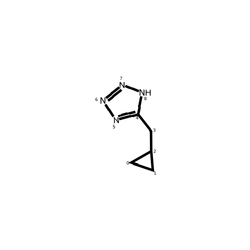 C1CC1Cc1nnn[nH]1